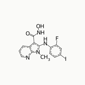 Cn1c(Nc2ccc(I)cc2F)c(C(=O)NO)c2cccnc21